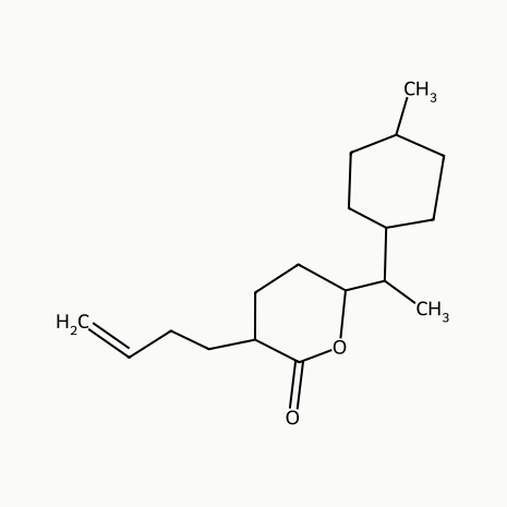 C=CCCC1CCC(C(C)C2CCC(C)CC2)OC1=O